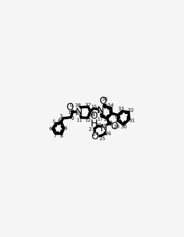 O=C(CCc1ccccc1)N1CCC(O)(Cn2cc(C(=O)N3CCOCC3)c(-c3ccccc3)cc2=O)CC1